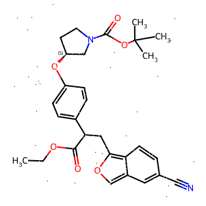 CCOC(=O)C(Cc1occ2cc(C#N)ccc12)c1ccc(O[C@H]2CCN(C(=O)OC(C)(C)C)C2)cc1